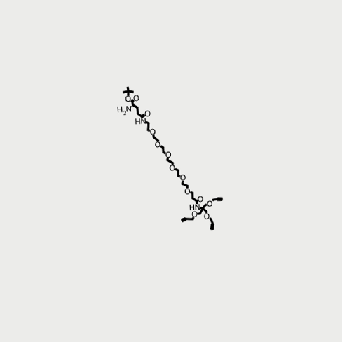 C#CCOCC(COCC#C)(COCC#C)NC(=O)CCOCCOCCOCCOCCOCCOCCNC(=O)CC[C@H](N)C(=O)OC(C)(C)C